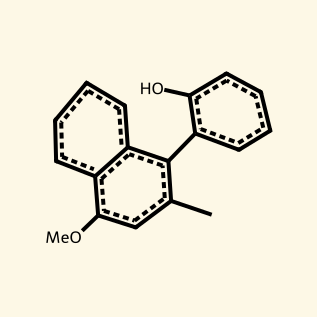 COc1cc(C)c(-c2ccccc2O)c2ccccc12